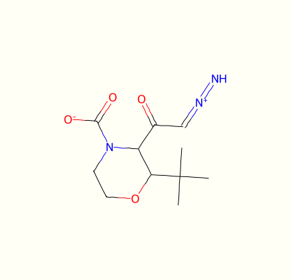 CC(C)(C)C1OCCN(C(=O)[O-])C1C(=O)C=[N+]=N